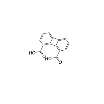 O=C(O)c1cccc2c1-c1c(C(=O)O)cccc1-2